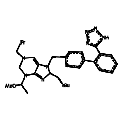 COC(C)N1CN(CC(C)C)C=C2C1=NC(CC(C)(C)C)N2Cc1ccc(-c2ccccc2-c2nnn[nH]2)cc1